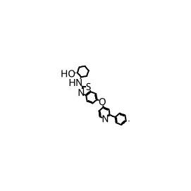 O[C@@H]1CCCC[C@H]1Nc1nc2ccc(Oc3ccnc(-c4cc[c]cc4)c3)cc2s1